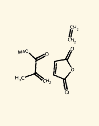 C=C.C=C(C)C(=O)OC.O=C1C=CC(=O)O1